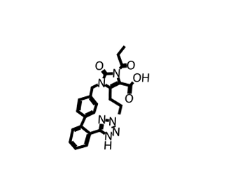 CCCc1c(C(=O)O)n(C(=O)CC)c(=O)n1Cc1ccc(-c2ccccc2-c2nnn[nH]2)cc1